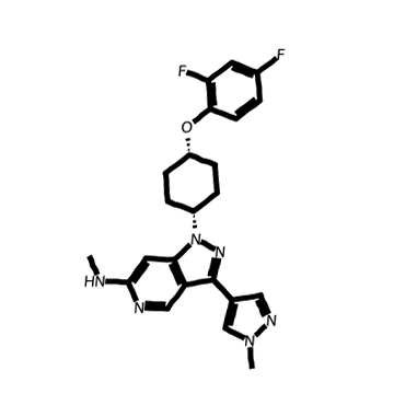 CNc1cc2c(cn1)c(-c1cnn(C)c1)nn2[C@H]1CC[C@@H](Oc2ccc(F)cc2F)CC1